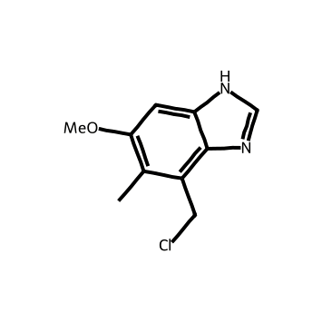 COc1cc2[nH]cnc2c(CCl)c1C